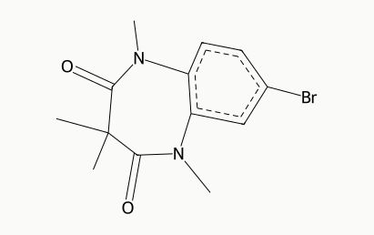 CN1C(=O)C(C)(C)C(=O)N(C)c2cc(Br)ccc21